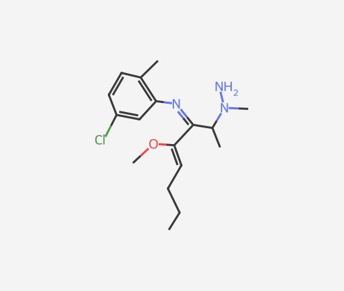 CCC/C=C(OC)/C(=N\c1cc(Cl)ccc1C)C(C)N(C)N